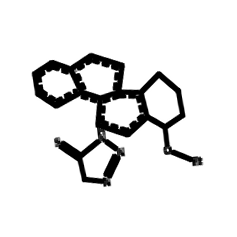 CCOC1CCCc2c1ccc1c2ccc2ccccc21.S=C1CN=NN1